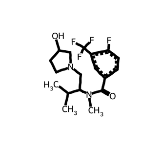 CC(C)C(CN1CCC(O)C1)N(C)C(=O)c1ccc(F)c(C(F)(F)F)c1